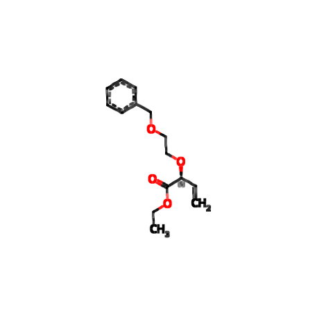 C=C[C@H](OCCOCc1ccccc1)C(=O)OCC